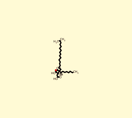 CCCCCCCC(=O)C(CCCCCCCCCCCCCCCC(C)C)(C(=O)O)C(O)(CC(=O)O)C(=O)O